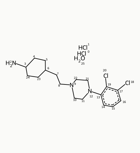 Cl.Cl.NC1CCC(CCN2CCN(c3cccc(Cl)c3Cl)CC2)CC1.O